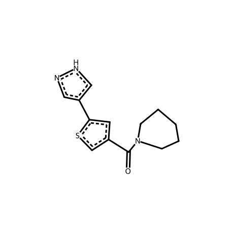 O=C(c1csc(-c2cn[nH]c2)c1)N1CCCCC1